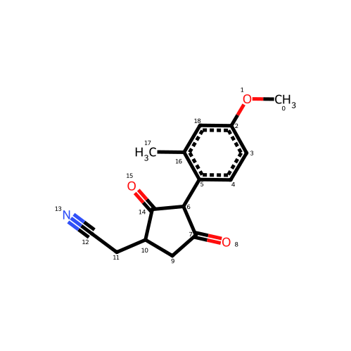 COc1ccc(C2C(=O)CC(CC#N)C2=O)c(C)c1